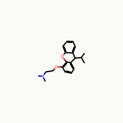 CC(C)C1c2ccccc2Oc2c(OCCN(C)C)cccc21